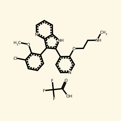 CNCCOc1cnccc1-c1[nH]c2cccnc2c1-c1cccc(Cl)c1OC.O=C(O)C(F)(F)F